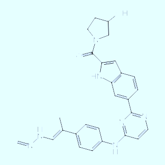 C=NN/C=C(\C)c1ccc(Nc2ccnc(-c3ccc4cc(C(=O)N5CCC(O)C5)[nH]c4c3)n2)cc1